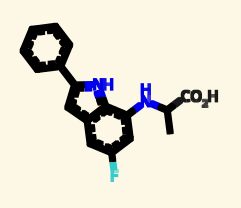 CC(Nc1cc(F)cc2cc(-c3ccccc3)[nH]c12)C(=O)O